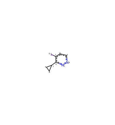 Ic1ccnnc1C1CC1